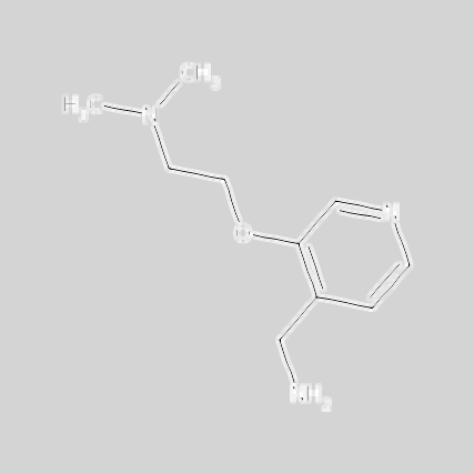 CN(C)CCOc1cnccc1CN